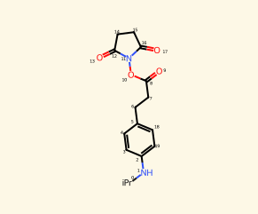 CC(C)Nc1ccc(CCC(=O)ON2C(=O)CCC2=O)cc1